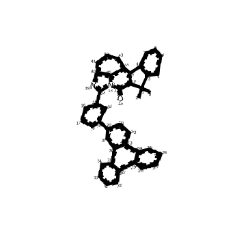 CC1(C)c2ccccc2-c2c1c(=O)n1c(-c3cccc(-c4ccc5c6ccccc6c6ccccc6c5c4)c3)nc3cccc2c31